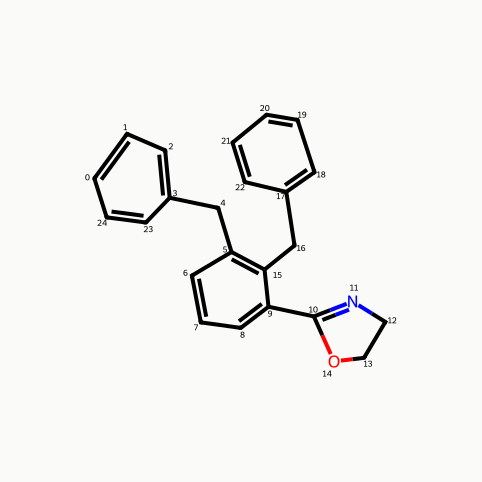 c1ccc(Cc2cccc(C3=NCCO3)c2Cc2ccccc2)cc1